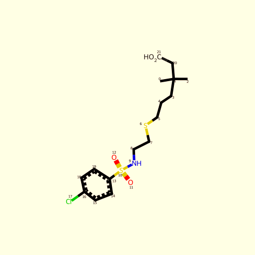 CC(C)(CCCSCCNS(=O)(=O)c1ccc(Cl)cc1)CC(=O)O